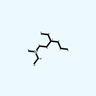 CCCC(CC)CCN(C)CC